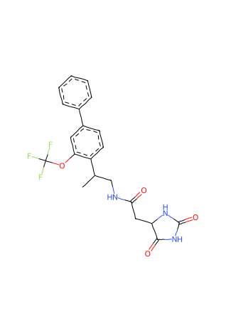 CC(CNC(=O)CC1NC(=O)NC1=O)c1ccc(-c2ccccc2)cc1OC(F)(F)F